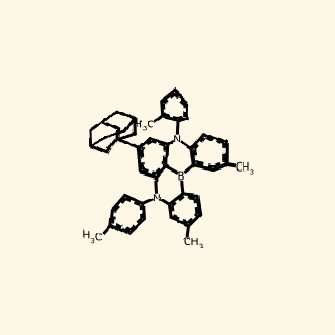 Cc1ccc(N2c3cc(C)ccc3B3c4cc(C)ccc4N(c4ccccc4C)c4cc(C56CC7CC(CC(C7)C5)C6)cc2c43)cc1